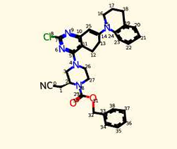 N#CC[C@H]1CN(c2nc(Cl)nc3c2CCC(N2CCCc4ccccc42)=C3)CCN1C(=O)OCc1ccccc1